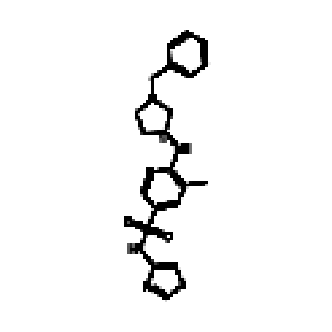 Cc1cc(S(=O)(=O)Nc2cscn2)cnc1N[C@H]1CCN(Cc2ccccc2)C1